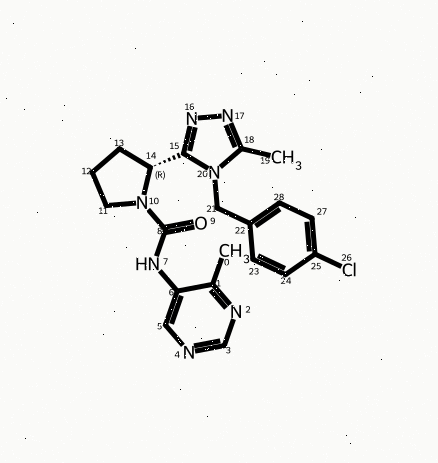 Cc1ncncc1NC(=O)N1CCC[C@@H]1c1nnc(C)n1Cc1ccc(Cl)cc1